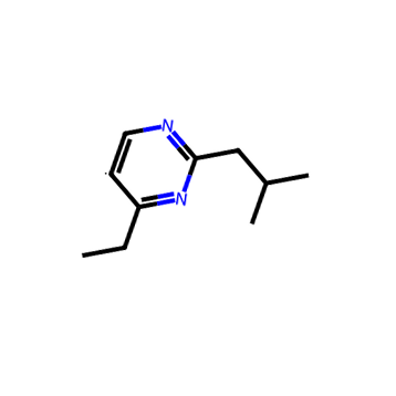 CCc1[c]cnc(CC(C)C)n1